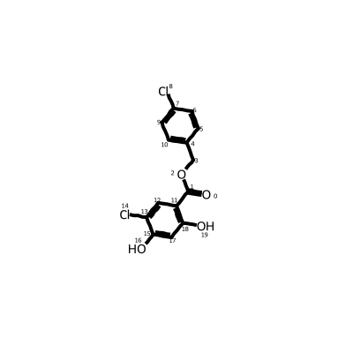 O=C(OCc1ccc(Cl)cc1)c1cc(Cl)c(O)cc1O